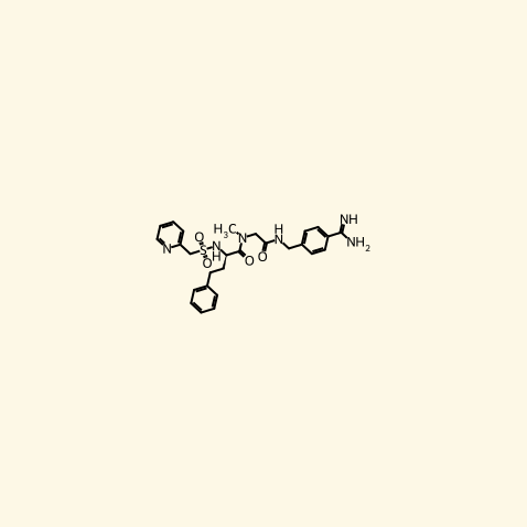 CN(CC(=O)NCc1ccc(C(=N)N)cc1)C(=O)[C@@H](CCc1ccccc1)NS(=O)(=O)Cc1ccccn1